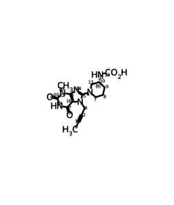 CC#CCn1c(N2CCC[C@@H](NC(=O)O)C2)nc2c1c(=O)[nH]c(=O)n2C